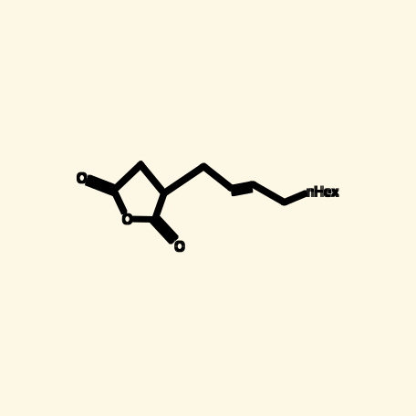 CCCCCCC/C=C/CC1CC(=O)OC1=O